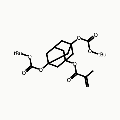 C=C(C)C(=O)OC12CC3CC(OC(=O)OC(C)(C)C)(CC(OC(=O)OC(C)(C)C)(C3)C1)C2